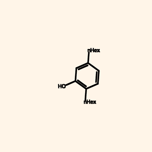 CCCCCCc1ccc(CCCCCC)c(O)c1